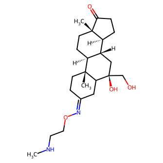 CNCCON=C1CC[C@@]2(C)C(C1)[C@@](O)(CO)C[C@@H]1[C@@H]2CC[C@]2(C)C(=O)CC[C@@H]12